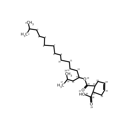 CC(C)CCCCCCCCCCCC(CC(C)C)OC(=O)C1CC=CCC1C(=O)O